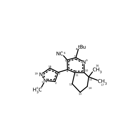 Cn1cc(-c2c(C#N)c(C(C)(C)C)nc3c2CCCC3(C)C)cn1